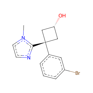 Cn1ccnc1[C@]1(c2cccc(Br)c2)C[C@@H](O)C1